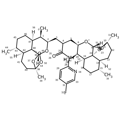 C[C@H]1[C@@H](CC(C[C@H]2O[C@@H]3O[C@]4(C)CC[C@H]5[C@H](C)CC[C@@H]([C@H]2C)[C@@]35OO4)C(=O)Nc2ccc(F)cn2)O[C@@H]2O[C@]3(C)CC[C@H]4[C@H](C)CC[C@@H]1[C@@]24OO3